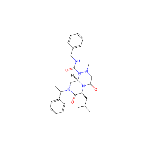 CC(C)C[C@H]1C(=O)N(C(C)c2ccccc2)C[C@H]2N1C(=O)CN(C)N2C(=O)NCc1ccccc1